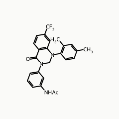 CC(=O)Nc1cccc(N2CN(c3ccc(C)cc3C)c3cc(C(F)(F)F)ccc3C2=O)c1